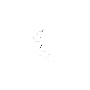 CCCCC(C)(F)C(C=CC1CCC2OC(=O)CC12)OC1CCCCO1